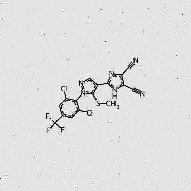 CSc1c(-c2nc(C#N)c(C#N)[nH]2)cnn1-c1c(Cl)cc(C(F)(F)F)cc1Cl